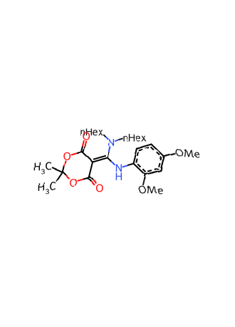 CCCCCCN(CCCCCC)C(Nc1ccc(OC)cc1OC)=C1C(=O)OC(C)(C)OC1=O